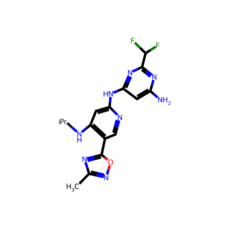 Cc1noc(-c2cnc(Nc3cc(N)nc(C(F)F)n3)cc2NC(C)C)n1